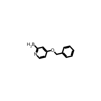 Bc1cc(OCc2ccccc2)ccn1